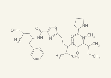 CCC(C)C(C(=O)NC(CCc1nc(C(=O)NC(Cc2ccccc2)CC(C)C=O)cs1)C(C)C)N(C)C(=O)C1CCCN1